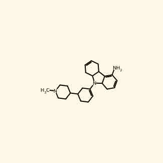 CN1CCC(C2CCC=C(N3C4CC=CC(N)=C4C4CC=CCC43)C2)CC1